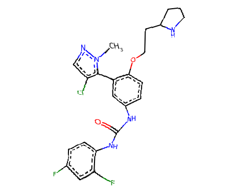 Cn1ncc(Cl)c1-c1cc(NC(=O)Nc2ccc(F)cc2F)ccc1OCCC1CCCN1